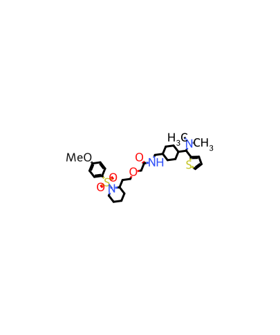 COc1ccc(S(=O)(=O)N2CCCCC2CCOCC(=O)NCC2CCC(C(c3cccs3)N(C)C)CC2)cc1